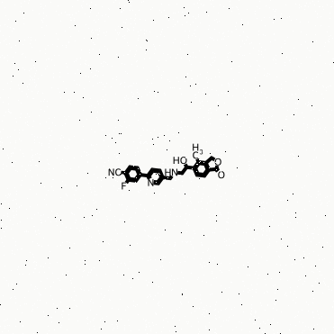 Cc1c(C(O)CNCc2ccc(-c3ccc(C#N)c(F)c3)nc2)ccc2c1COC2=O